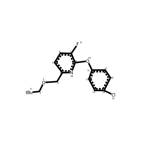 CC(C)(C)COCc1ccc(F)c(Oc2ccc(Cl)cc2)n1